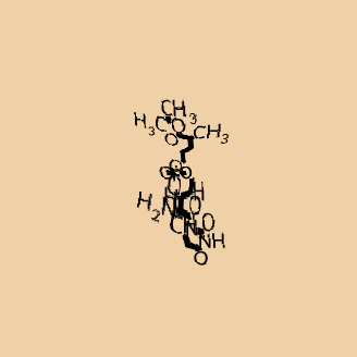 CC(C)OC(=O)C(C)CCCO[P@]1(=O)OC[C@H]2O[C@@H](n3ccc(=O)[nH]c3=O)[C@](C)(N)[C@@H]2O1